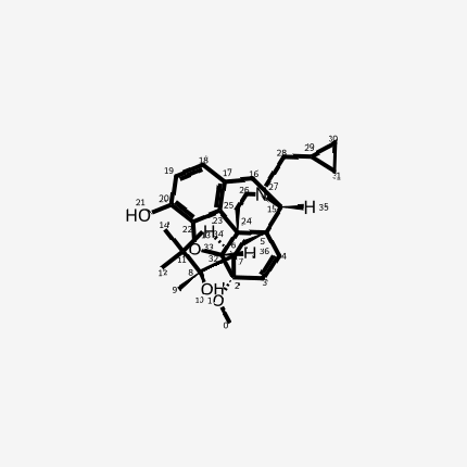 CO[C@@]12C=C[C@@]3(C[C@@H]1[C@](C)(O)C(C)(C)C)[C@H]1Cc4ccc(O)c5c4[C@@]3(CCN1CC1CC1)[C@H]2O5